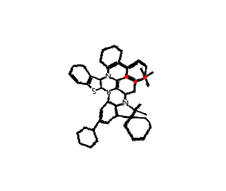 CC(C)(C)C1CC2=C3B(C4C=C(C5CCCCC5)CC5C4N(C3C1)C(C)(C)C51CCCCC1)C1SC3=C(CCC=C3)C1N2C1=C(C2=CCCC=C2)CCCC1